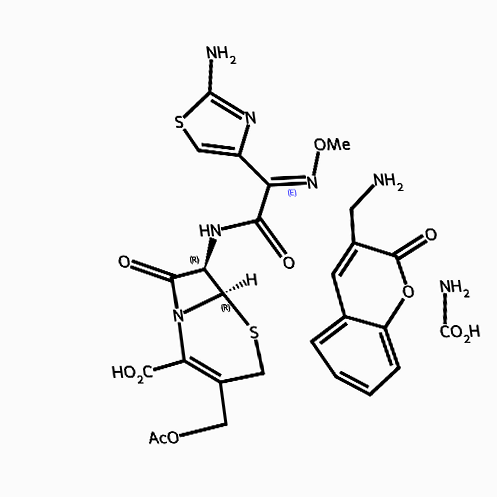 CO/N=C(/C(=O)N[C@@H]1C(=O)N2C(C(=O)O)=C(COC(C)=O)CS[C@H]12)c1csc(N)n1.NC(=O)O.NCc1cc2ccccc2oc1=O